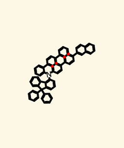 c1ccc(-c2ccc(-c3ccccc3N(c3ccc(-c4ccc(-c5ccc6ccccc6c5)cc4)cc3)c3cccc4c3-c3ccccc3C4(c3ccccc3)c3ccccc3)cc2)cc1